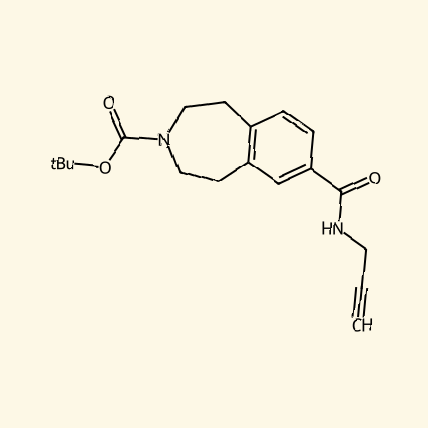 C#CCNC(=O)c1ccc2c(c1)CCN(C(=O)OC(C)(C)C)CC2